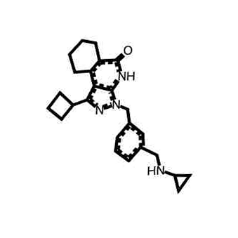 O=c1[nH]c2c(c(C3CCC3)nn2Cc2cccc(CNC3CC3)c2)c2c1CCCC2